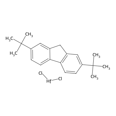 CC(C)(C)c1ccc2c(c1)Cc1cc(C(C)(C)C)ccc1-2.[Cl][Hf][Cl]